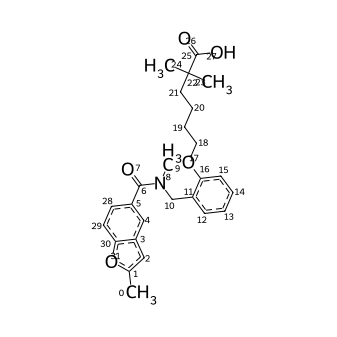 Cc1cc2cc(C(=O)N(C)Cc3ccccc3OCCCCC(C)(C)C(=O)O)ccc2o1